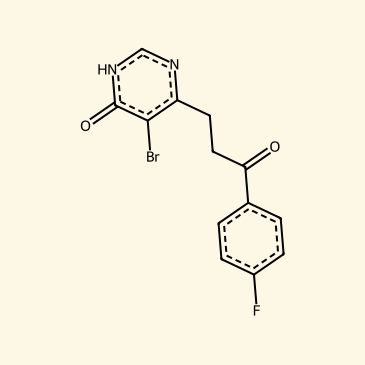 O=C(CCc1nc[nH]c(=O)c1Br)c1ccc(F)cc1